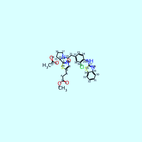 COC(=O)CCc1cnc([C@@]2(OC(C)=O)CCCN2C(=O)Cc2ccc(Nc3nc4ccccc4s3)c(Cl)c2)s1